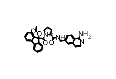 CC(=O)OC1(C(=O)N2CCC[C@H]2C(=O)NCc2ccc3c(N)nccc3c2)c2ccccc2-c2ccccc21